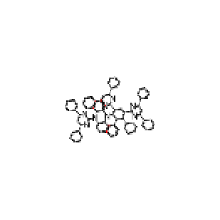 c1ccc(-c2cc(-c3ccccc3)nc(-c3cc(-c4nc(-c5ccccc5)cc(-c5ccccc5)n4)c(N4c5ccccc5N(c5nc(-c6ccccc6)cc(-c6ccccc6)n5)c5ccccc54)c(-c4ccccc4)c3-c3ccccc3)n2)cc1